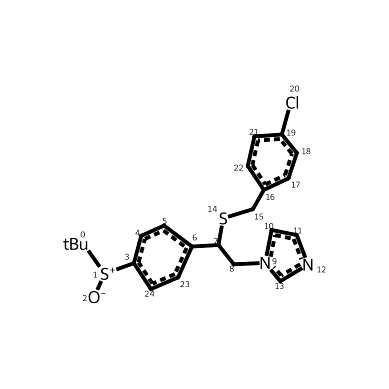 CC(C)(C)[S+]([O-])c1ccc(C(Cn2ccnc2)SCc2ccc(Cl)cc2)cc1